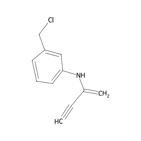 C#CC(=C)Nc1cccc(CCl)c1